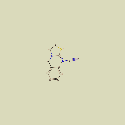 N#CN=C1SCCN1Cc1ccccc1